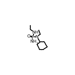 CCNP(N)(=O)N(CC)C1CCCCC1